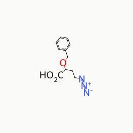 [N-]=[N+]=NCCC(OCc1ccccc1)C(=O)O